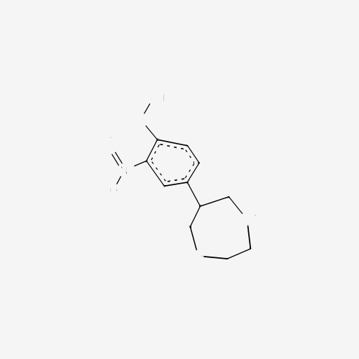 COc1ccc(C2COCCOC2)cc1[N+](=O)[O-]